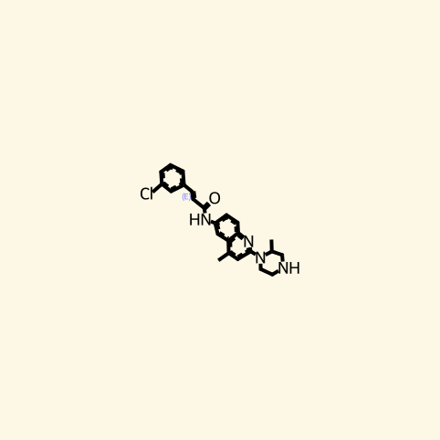 Cc1cc(N2CCNCC2C)nc2ccc(NC(=O)/C=C/c3cccc(Cl)c3)cc12